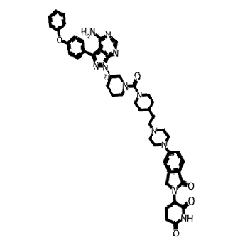 Nc1ncnc2c1c(-c1ccc(Oc3ccccc3)cc1)nn2[C@@H]1CCCN(C(=O)N2CCC(CCN3CCN(c4ccc5c(c4)CN(C4CCC(=O)NC4=O)C5=O)CC3)CC2)C1